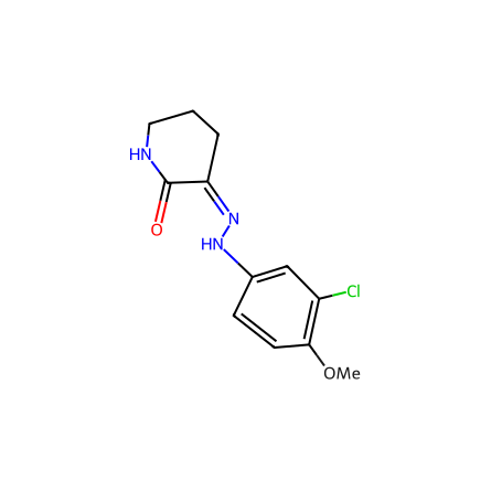 COc1ccc(NN=C2CCCNC2=O)cc1Cl